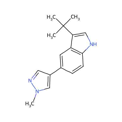 Cn1cc(-c2ccc3[nH]cc(C(C)(C)C)c3c2)cn1